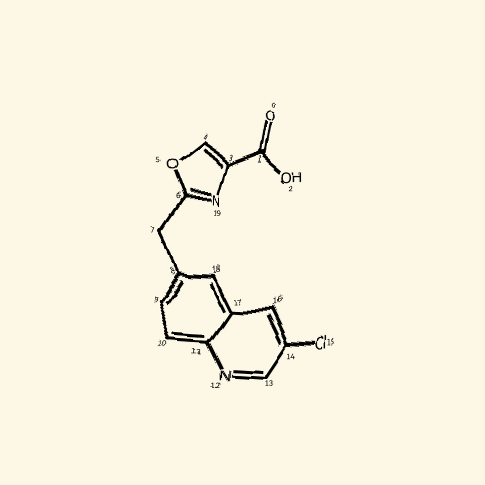 O=C(O)c1coc(Cc2ccc3ncc(Cl)cc3c2)n1